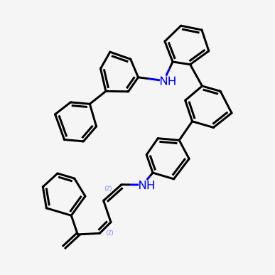 C=C(/C=C\C=C/Nc1ccc(-c2cccc(-c3ccccc3Nc3cccc(-c4ccccc4)c3)c2)cc1)c1ccccc1